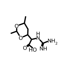 CC1CC(C(NC(=N)N)C(=O)O)OC(C)O1